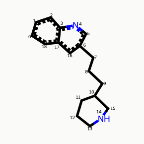 c1ccc2ncc(CCCC3CCCNC3)cc2c1